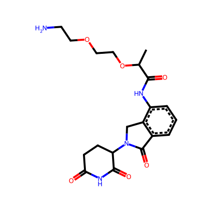 CC(OCCOCCN)C(=O)Nc1cccc2c1CN(C1CCC(=O)NC1=O)C2=O